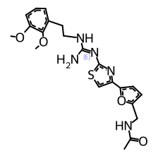 COc1cccc(CCN/C(N)=N/c2nc(-c3ccc(CNC(C)=O)o3)cs2)c1OC